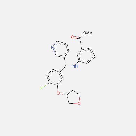 COC(=O)c1cccc(NC(c2cccnc2)c2ccc(F)c(O[C@@H]3CCOC3)c2)c1